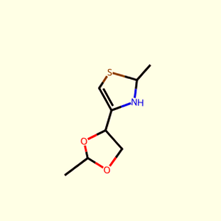 CC1OCC(C2=CSC(C)N2)O1